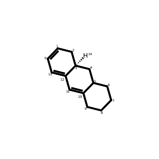 C1=CC[C@H]2CC3CCCCC3=CC2=C1